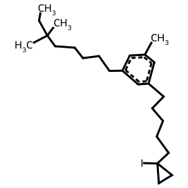 CCC(C)(C)CCCCCc1cc(C)cc(CCCCCC2(I)CC2)c1